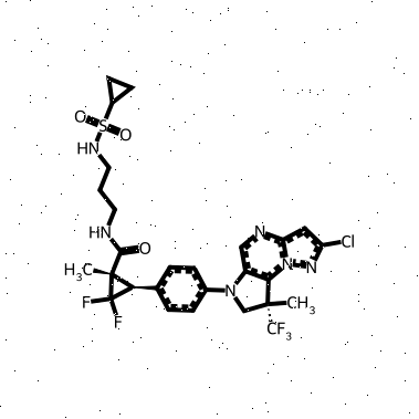 C[C@@]1(C(F)(F)F)CN(c2ccc([C@H]3C(F)(F)[C@]3(C)C(=O)NCCCNS(=O)(=O)C3CC3)cc2)c2cnc3cc(Cl)nn3c21